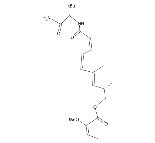 C/C=C(/OC)C(=O)OC[C@@H](C)/C=C(C)/C=C\C=C/C(=O)NC(C(N)=O)C(C)(C)C